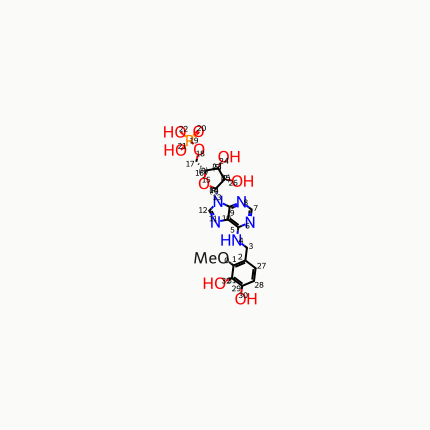 COc1c(CNc2ncnc3c2ncn3[C@@H]2O[C@H](COP(=O)(O)O)[C@@H](O)[C@H]2O)ccc(O)c1O